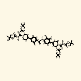 Cc1cc(C2=CCN(/C(=N\C(=O)OC(C)(C)C)NC(=O)OC(C)(C)C)CC2)ccc1C(=O)Nc1ccc(C2=CCN(/C(=N\C(=O)OC(C)(C)C)NC(=O)OC(C)(C)C)CC2)c(F)c1C